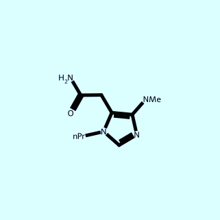 CCCn1cnc(NC)c1CC(N)=O